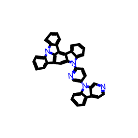 c1ccc2c(c1)c1ccncc1n2-c1ccc(-n2c3ccccc3c3c4c5ccccc5n5c6ccccc6c(cc32)c45)nc1